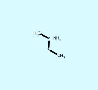 CSSC.N